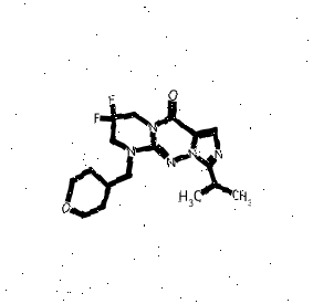 CC(C)c1ncc2c(=O)n3c(nn12)N(CC1CCOCC1)CC(F)(F)C3